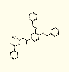 CN(CC(=O)c1ccc(OCc2ccccc2)c(OCc2ccccc2)c1)OC(=O)c1ccccc1